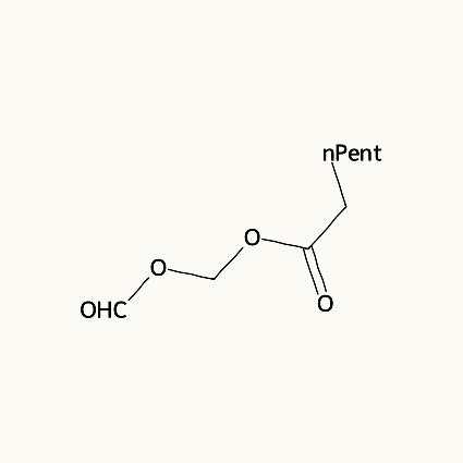 CCCCCCC(=O)OCOC=O